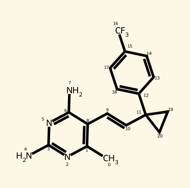 Cc1nc(N)nc(N)c1C=CC1(c2ccc(C(F)(F)F)cc2)CC1